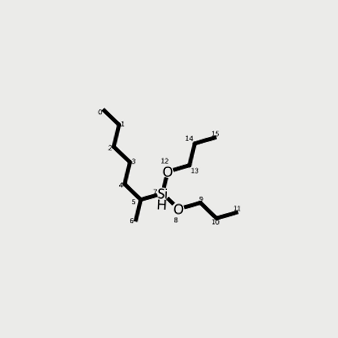 CCCCCC(C)[SiH](OCCC)OCCC